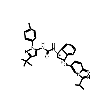 Cc1ccc(-n2nc(C(C)(C)C)cc2NC(=O)N[C@H]2C[C@@H](Oc3ccc4nnc(C(C)C)n4c3)c3ccccc32)cc1